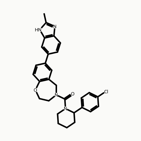 Cc1nc2ccc(-c3ccc4c(c3)CN(C(=O)N3CCCCC3c3ccc(Cl)cc3)CCO4)cc2[nH]1